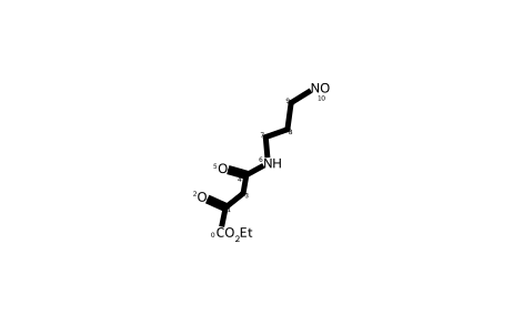 CCOC(=O)C(=O)CC(=O)NCCCN=O